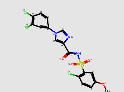 COc1ccc(Cl)c(S(=O)(=O)NC(=O)c2cn(-c3ccc(Cl)c(Cl)c3)cn2)c1